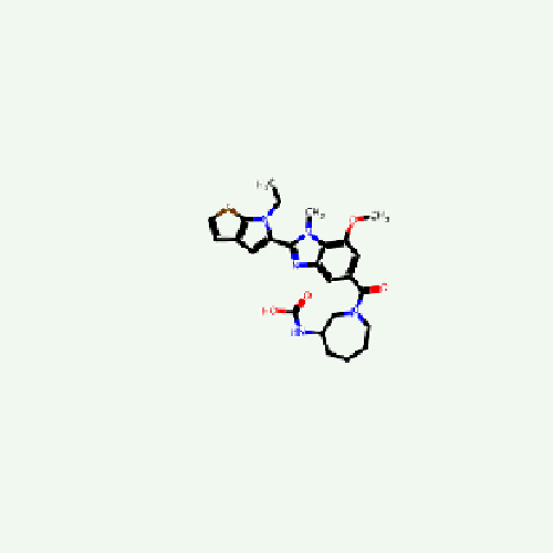 CCn1c(-c2nc3cc(C(=O)N4CCCC[C@@H](NC(=O)O)C4)cc(OC)c3n2C)cc2ccsc21